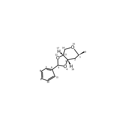 C[C@H]1C[C@@H]2OC(c3ccccc3)O[C@@H]2CO1